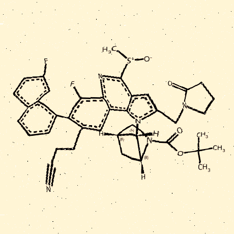 C[S+]([O-])c1nc2c(F)c(-c3cccc4ccc(F)cc34)c(CCC#N)cc2c2c1cc(CN1CCCC1=O)n2[C@H]1[C@@H]2C[C@H]1N(C(=O)OC(C)(C)C)C2